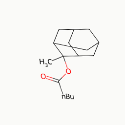 CCCCC(=O)OC1(C)C2CC3CC(C2)CC1C3